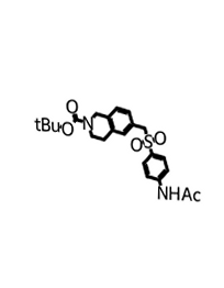 CC(=O)Nc1ccc(S(=O)(=O)Cc2ccc3c(c2)CCN(C(=O)OC(C)(C)C)C3)cc1